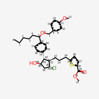 CCCCCC(OCc1ccc(OC)cc1)c1ccc([C@@H]2[C@@H](CCCc3ccc(C(=O)OC)s3)[C@H](Cl)C[C@H]2O)cc1